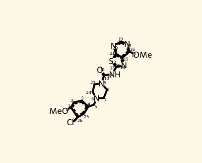 COc1ccc(CN2CCN(C(=O)Nc3nc4c(OC)ncnc4s3)CC2)cc1Cl